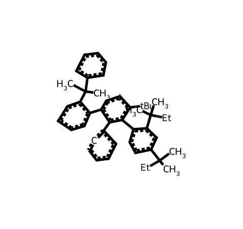 CCC(C)(C)c1ccc(-c2c(C(C)(C)C)[c]cc(-c3ccccc3C(C)(C)c3ccccc3)c2-c2ccccc2)c(C(C)(C)CC)c1